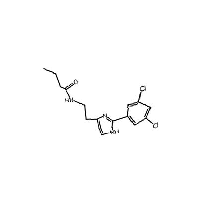 CCCC(=O)NCCc1c[nH]c(-c2cc(Cl)cc(Cl)c2)n1